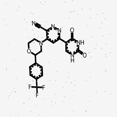 N#Cc1nnc(-c2c[nH]c(=O)[nH]c2=O)cc1N1CCOC(c2ccc(C(F)(F)F)cc2)C1